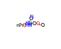 CCCOCN/C=C(\C(=N)c1ccc(OCc2ccccc2)cc1)c1ccncc1